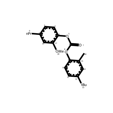 CCCc1ccc(OC(=O)Oc2ccc(C(C)(C)C)cc2C)c(OC)c1